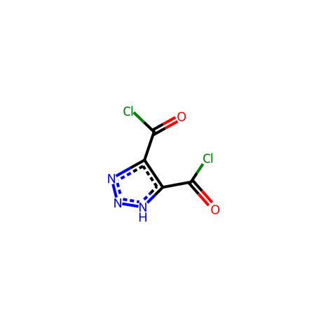 O=C(Cl)c1nn[nH]c1C(=O)Cl